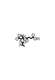 CCC(=O)N[C@H](C(=O)O)C(C)(C)SC(=O)CCC(=O)O